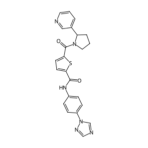 O=C(Nc1ccc(-n2cncn2)cc1)c1ccc(C(=O)N2CCCC2c2cccnc2)s1